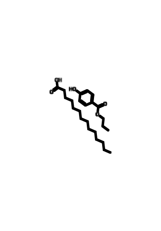 CCCCCCCCCCCCCC(=O)O.CCCOC(=O)c1ccc(O)cc1